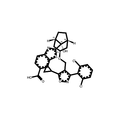 O=C(O)c1ccc2nc([C@]3(O)[C@@H]4CC[C@H]3C[C@H](OCc3c(-c5c(Cl)cccc5Cl)noc3C3CC3)C4)sc2c1